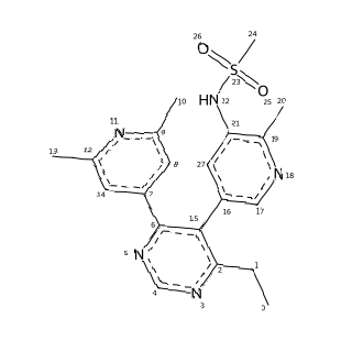 CCc1ncnc(-c2cc(C)nc(C)c2)c1-c1cnc(C)c(NS(C)(=O)=O)c1